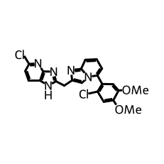 COc1cc(Cl)c(-c2cccc3nc(Cc4nc5nc(Cl)ccc5[nH]4)cn23)cc1OC